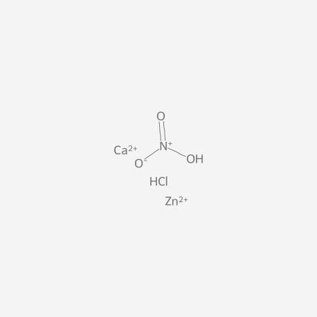 Cl.O=[N+]([O-])O.[Ca+2].[Zn+2]